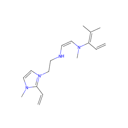 C=CC(=C(C)C)N(C)/C=C\NCC[n+]1ccn(C)c1C=C